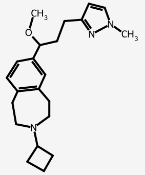 COC(CCc1ccn(C)n1)c1ccc2c(c1)CCN(C1CCC1)CC2